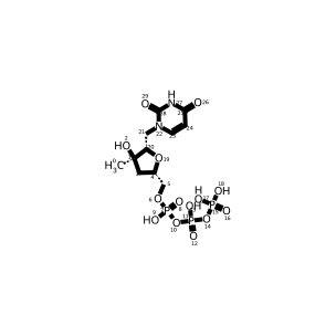 C[C@@]1(O)C[C@@H](COP(=O)(O)OP(=O)(O)OP(=O)(O)O)O[C@H]1Cn1ccc(=O)[nH]c1=O